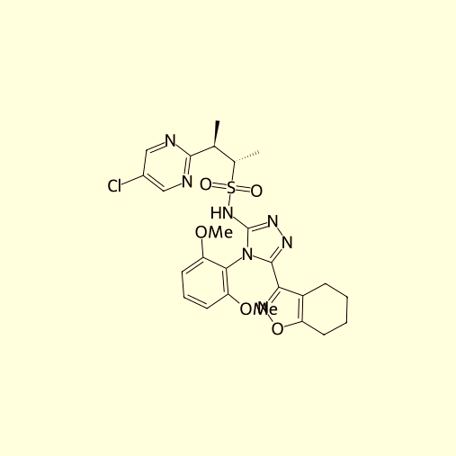 COc1cccc(OC)c1-n1c(NS(=O)(=O)[C@@H](C)[C@H](C)c2ncc(Cl)cn2)nnc1-c1noc2c1CCCC2